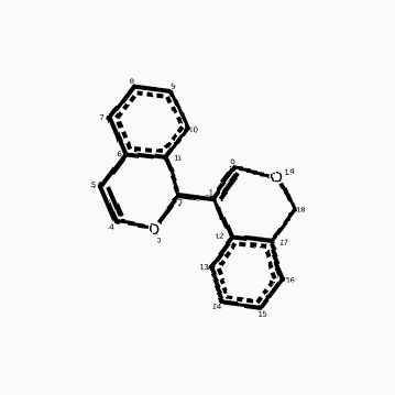 [C]1=C(C2OC=Cc3ccccc32)c2ccccc2CO1